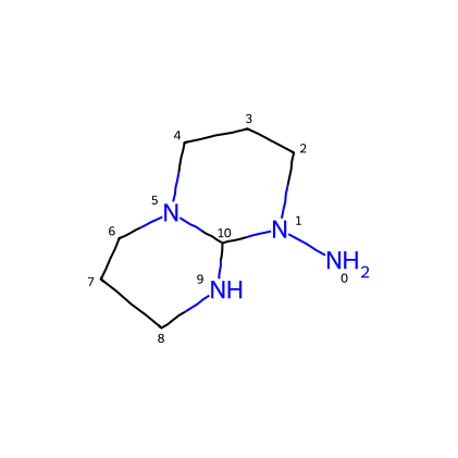 NN1CCCN2CCCNC12